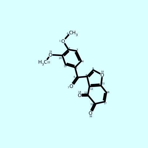 COc1ccc(C(=O)c2coc3c2C(=O)C(=O)C=C3)cc1OC